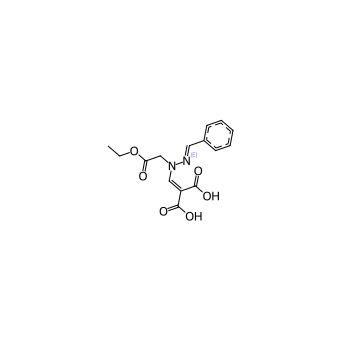 CCOC(=O)CN(C=C(C(=O)O)C(=O)O)/N=C/c1ccccc1